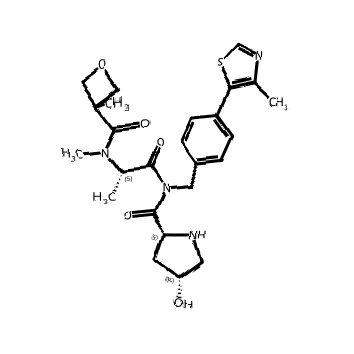 Cc1ncsc1-c1ccc(CN(C(=O)[C@@H]2C[C@@H](O)CN2)C(=O)[C@H](C)N(C)C(=O)C2(C)COC2)cc1